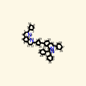 c1ccc(-c2ccc3ccc4ccc(-c5ccc(-c6ccc7cc(-c8ccccc8)n8nc(-c9ccccc9)c(-c9ccccc9)c8c7c6)cc5)nc4c3n2)cc1